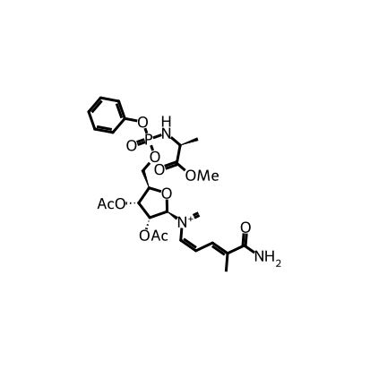 C=[N+](/C=C\C=C(/C)C(N)=O)[C@@H]1O[C@H](COP(=O)(N[C@@H](C)C(=O)OC)Oc2ccccc2)[C@@H](OC(C)=O)[C@H]1OC(C)=O